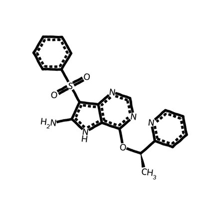 C[C@@H](Oc1ncnc2c(S(=O)(=O)c3ccccc3)c(N)[nH]c12)c1ccccn1